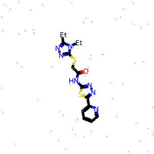 CCc1nnc(SCC(=O)Nc2nnc(-c3ccccn3)s2)n1CC